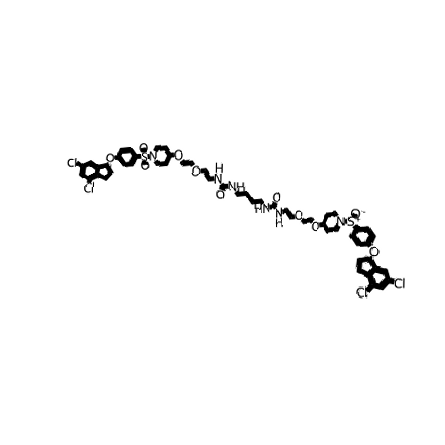 O=C(NCCCCNC(=O)NCCOCCOC1CCN(S(=O)(=O)c2ccc(O[C@@H]3CCc4c(Cl)cc(Cl)cc43)cc2)CC1)NCCOCCOC1CCN([S+]([O-])c2ccc(O[C@@H]3CCc4c(Cl)cc(Cl)cc43)cc2)CC1